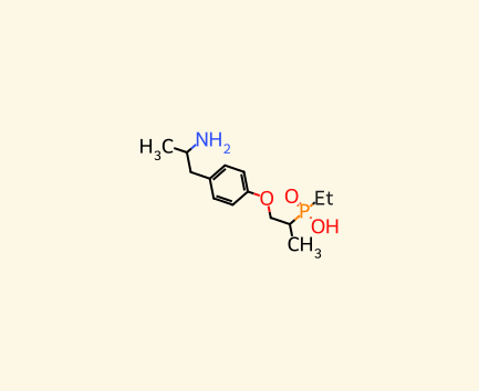 CCP(=O)(O)C(C)COc1ccc(CC(C)N)cc1